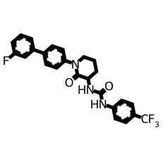 O=C(Nc1ccc(C(F)(F)F)cc1)NC1CCCN(c2ccc(-c3cccc(F)c3)cc2)C1=O